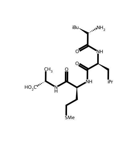 CC[C@H](C)[C@H](N)C(=O)N[C@@H](CC(C)C)C(=O)N[C@@H](CCSC)C(=O)N[C@@H](C)C(=O)O